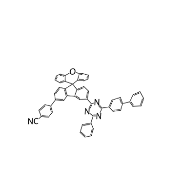 N#Cc1ccc(-c2ccc3c(c2)-c2cc(-c4nc(-c5ccccc5)nc(-c5ccc(-c6ccccc6)cc5)n4)ccc2C32c3ccccc3Oc3ccccc32)cc1